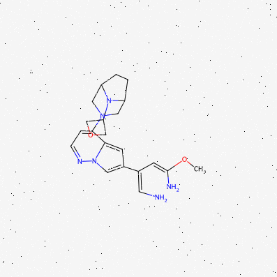 CO/C(N)=C/C(=C\N)c1cc2c(N3CC4CCC(C3)N4C3COC3)ccnn2c1